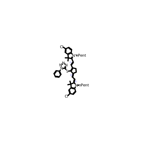 CCCCCN1/C(=C/C=C2\CCC(/C=C/C3=[N+](CCCCC)c4ccc(Cl)cc4C3(C)C)=C2Sc2nnnn2-c2ccccc2)C(C)(C)c2cc(Cl)ccc21